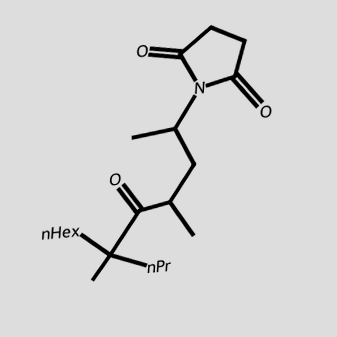 CCCCCCC(C)(CCC)C(=O)C(C)CC(C)N1C(=O)CCC1=O